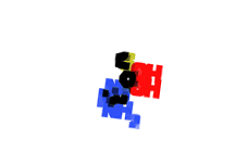 Nc1ncnc2c1ccn2[C@@H]1C[C@H](c2cccs2)[C@@H](O)[C@H]1O